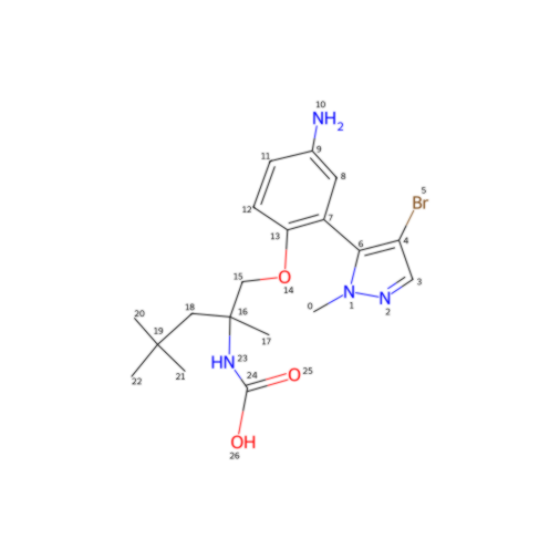 Cn1ncc(Br)c1-c1cc(N)ccc1OCC(C)(CC(C)(C)C)NC(=O)O